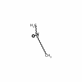 CCCCCCCCCCCCCCCCCn1cc[n+](CCCCCCC)c1-c1ccccc1